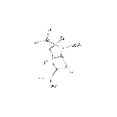 CC[S+]([O-])C1(Cl)C[C@@H]2[C@@H]([C@@H](C)O)C(=O)N2C1C(=O)O